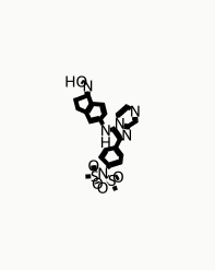 CS(=O)(=O)N(c1ccc(-c2nc3cnccn3c2Nc2ccc3c(c2)CC/C3=N\O)cc1)S(C)(=O)=O